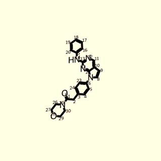 O=C(Cc1ccc(-n2ccc3cnc(Nc4ccccc4)nc32)cc1)N1CCOCC1